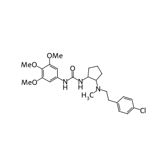 COc1cc(NC(=O)NC2CCCC2N(C)CCc2ccc(Cl)cc2)cc(OC)c1OC